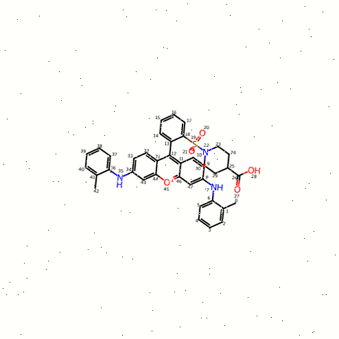 Cc1ccccc1Nc1ccc2c(-c3ccccc3S(=O)(=O)N3CCC(C(=O)O)CC3)c3ccc(Nc4ccccc4C)cc3[o+]c2c1